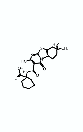 CC1(C)CCc2c(sc3nc(O)c(C(=O)NC4(C(=O)O)CCCCC4)c(=O)n23)C1